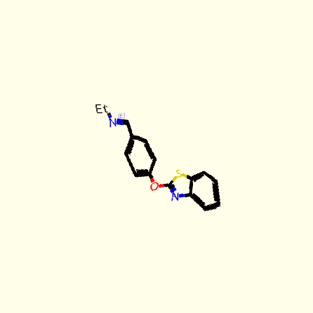 CC/N=C/c1ccc(Oc2nc3ccccc3s2)cc1